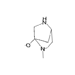 CN1CC2CC1([O])CN2